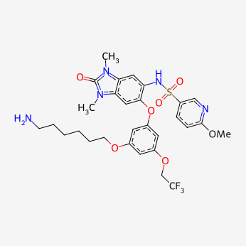 COc1ccc(S(=O)(=O)Nc2cc3c(cc2Oc2cc(OCCCCCCN)cc(OCC(F)(F)F)c2)n(C)c(=O)n3C)cn1